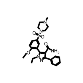 CCOc1ccc(S(=O)(=O)N2CCN(C)CC2)cc1-c1c(C(N)=O)c(-c2ccccc2)nn1CC